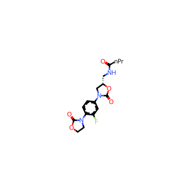 CCCC(=O)NC[C@H]1CN(c2ccc(N3CCOC3=O)c(F)c2)C(=O)O1